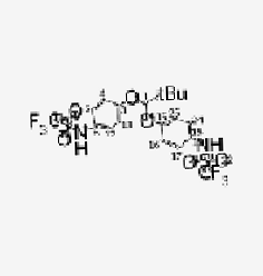 CC(C)(C)C(Oc1ccc(NS(=O)(=O)C(F)(F)F)cc1)Oc1ccc(NS(=O)(=O)C(F)(F)F)cc1